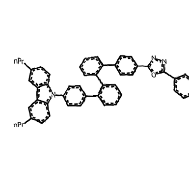 CCCc1ccc2c(c1)c1cc(CCC)ccc1n2-c1ccc(-c2ccccc2-c2ccccc2-c2ccc(-c3nnc(-c4ccccc4)o3)cc2)cc1